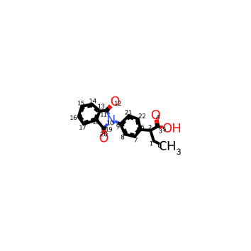 CCC(C(=O)O)c1ccc(N2C(=O)c3ccccc3C2=O)cc1